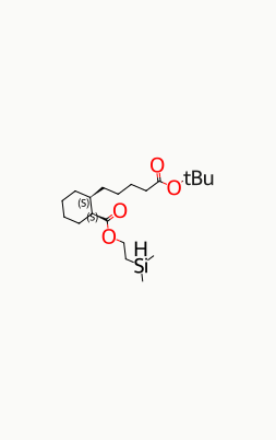 C[SiH](C)CCOC(=O)[C@H]1CCCC[C@H]1CCCCC(=O)OC(C)(C)C